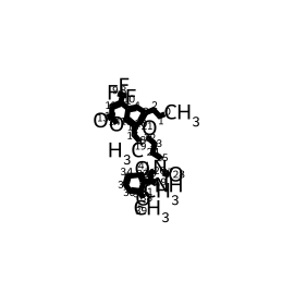 CCCc1cc2c(C(F)(F)F)cc(=O)oc2c(CCC)c1OCCCCN1C(=O)NC(C)(c2ccccc2OC)C1=O